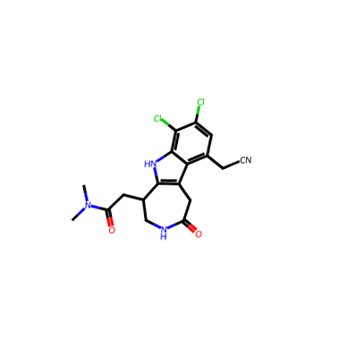 CN(C)C(=O)CC1CNC(=O)Cc2c1[nH]c1c(Cl)c(Cl)cc(CC#N)c21